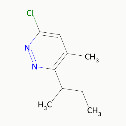 CCC(C)c1nnc(Cl)cc1C